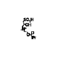 CC(C)C(=O)OCC[N+](C)(C)CC(O)CS(=O)(=O)O